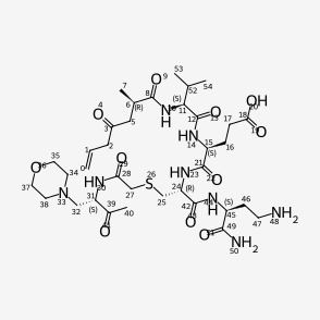 C=CCC(=O)C[C@@H](C)C(=O)N[C@H](C(=O)N[C@@H](CCC(=O)O)C(=O)N[C@@H](CSCC(=O)N[C@@H](CN1CCOCC1)C(C)=O)C(=O)N[C@@H](CCN)C(N)=O)C(C)C